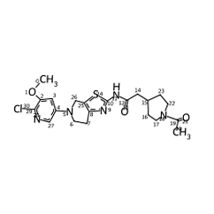 COc1cc(N2CCc3nc(NC(=O)CC4CCN(C(C)=O)CC4)sc3C2)cnc1Cl